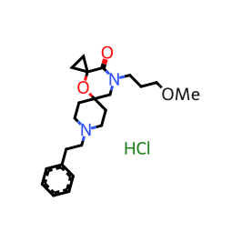 COCCCN1CC2(CCN(CCc3ccccc3)CC2)OC2(CC2)C1=O.Cl